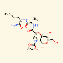 CCCCCOC(=O)N[C@H]1C(O)O[C@H](CO)[C@@H](O)[C@@H]1O[C@H](C)C(=O)N[C@@H](C)C(=O)N[C@H](CCC(=O)O)C(N)=O